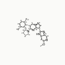 COc1cc2[nH]c(-c3cnn4ccc(N5CCC[C@@H]5c5cc(F)ccc5F)nc34)nc2cn1